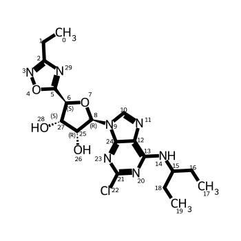 CCc1noc([C@H]2O[C@@H](n3cnc4c(NC(CC)CC)nc(Cl)nc43)[C@H](O)[C@@H]2O)n1